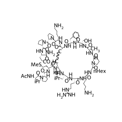 CCCCCC[C@@H]1NC(=O)[C@H](CCCCN)NC(=O)[C@H](CCCNC(=N)N)NC(=O)[C@H](CC(C)C)NC(=O)C(NC(=O)[C@H](CCSC)NC(=O)[C@@H]2CCCN2C(=O)[C@@H](NC(C)=O)C(C)C)CCSSC[C@@H](C(=O)NC(CCCCN)C(=O)N2CCC[C@H]2C(=O)N2CCC[C@H]2C(=O)N[C@@H](CCC(=O)O)C(N)=O)NC(=O)[C@H](Cc2ccccc2)NC(=O)[C@H](CO)NC(=O)C(C)NC(=O)[C@@H]2CCCN2C1=O